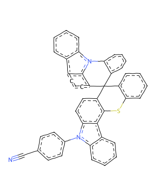 N#Cc1ccc(-n2c3ccccc3c3c4c(ccc32)C2(c3ccccc3S4)c3ccccc3-n3c4ccccc4c4cccc2c43)cc1